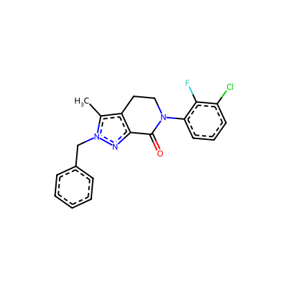 Cc1c2c(nn1Cc1ccccc1)C(=O)N(c1cccc(Cl)c1F)CC2